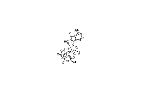 C#C[C@]1(O)[C@H](n2cc(F)c3c(N)ncnc32)O[C@@H]2C(OP(=O)(O)OP(=O)(O)OP(=O)(O)O)[C@@]21O